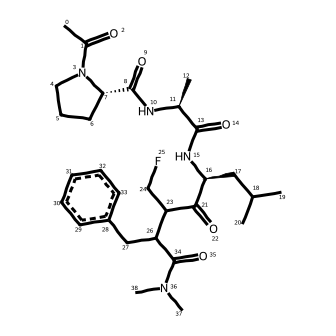 CC(=O)N1CCC[C@H]1C(=O)N[C@@H](C)C(=O)N[C@@H](CC(C)C)C(=O)C(CF)C(Cc1ccccc1)C(=O)N(C)C